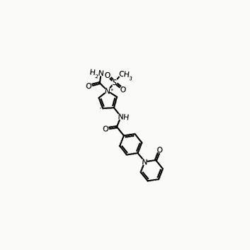 CS(=O)(=O)[N+]1(C(N)=O)C=[C]C(NC(=O)c2ccc(-n3ccccc3=O)cc2)=C1